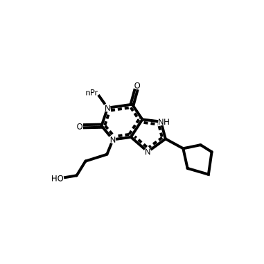 CCCn1c(=O)c2[nH]c(C3CCCC3)nc2n(CCCO)c1=O